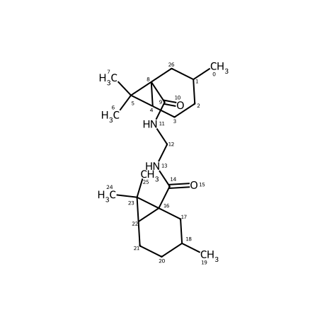 CC1CCC2C(C)(C)C2(C(=O)NCNC(=O)C23CC(C)CCC2C3(C)C)C1